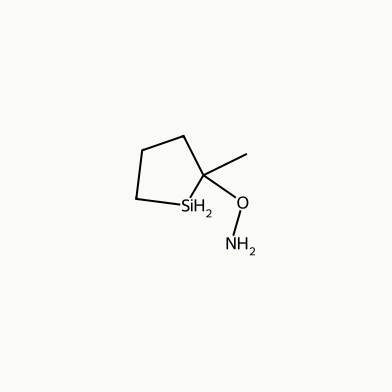 CC1(ON)CCC[SiH2]1